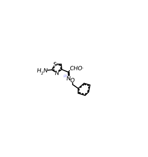 Nc1nc(/C([C]=O)=N/OCc2ccccc2)cs1